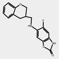 O=c1[nH]c2cc(F)c(NCC3COc4ccccc4C3)cc2o1